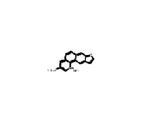 Cl.O=C(O)c1c[nH]c2c(ccc3cc4nccc4cc32)c1